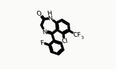 O=C1CN=C(c2ccccc2F)c2c(ccc(C(F)(F)F)c2Cl)N1